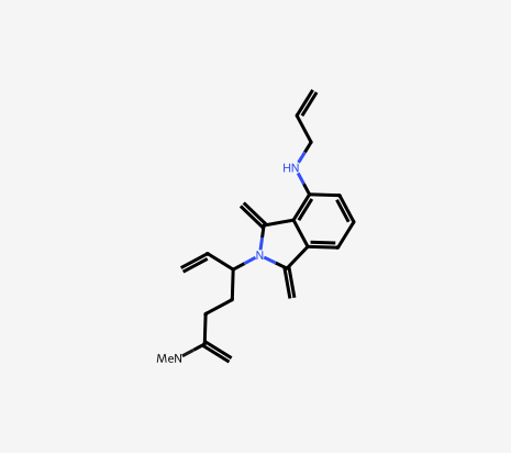 C=CCNc1cccc2c(=C)n(C(C=C)CCC(=C)NC)c(=C)c12